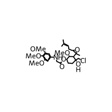 COc1cc(NCC(=O)OC2CCC(O)(CCl)C(C3(C)OC3CC=C(C)C)C2OC)cc(OC)c1OC